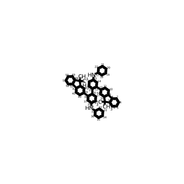 CC1(C)c2ccccc2-c2ccc(-c3cc(Nc4ccccc4)ccc3-c3ccc(Nc4ccccc4)cc3-c3ccc4c(c3)C(C)(C)c3ccccc3-4)cc21